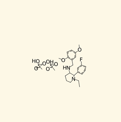 CCN1CCCC(NCc2cc(OC)ccc2OC)C1c1cccc(F)c1.CS(=O)(=O)O.CS(=O)(=O)O